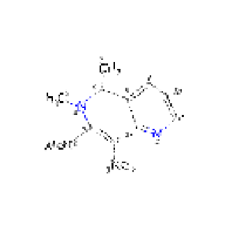 CNC(=C[N+](=O)[O-])N(C)C(C)c1cccnc1